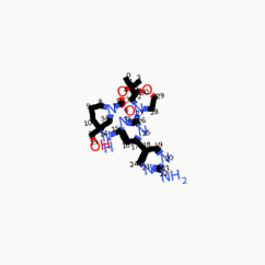 CC(C)(C)OC(=O)N1CCCC(CO)(Nc2cc(-c3cnc(N)nc3)nc(N3CCOCC3)n2)C1